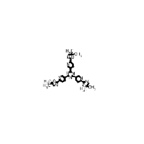 CC1(C)CN=C(c2ccc(-c3nc(-c4ccc(C5=NCC(C)(C)O5)nc4)nc(-c4ccc(C5=NCC(C)(C)O5)nc4)n3)cn2)O1